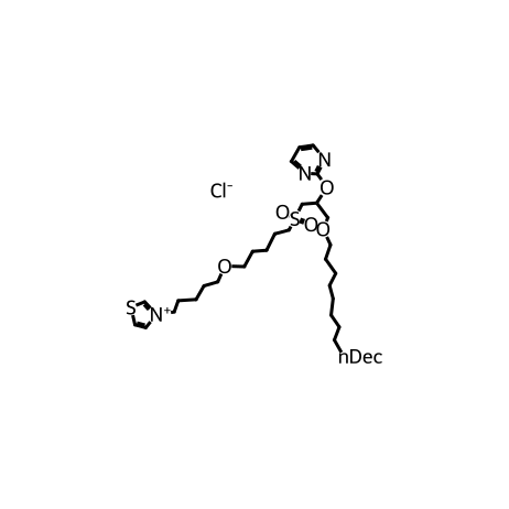 CCCCCCCCCCCCCCCCCCOCC(CS(=O)(=O)CCCCCOCCCCC[n+]1ccsc1)Oc1ncccn1.[Cl-]